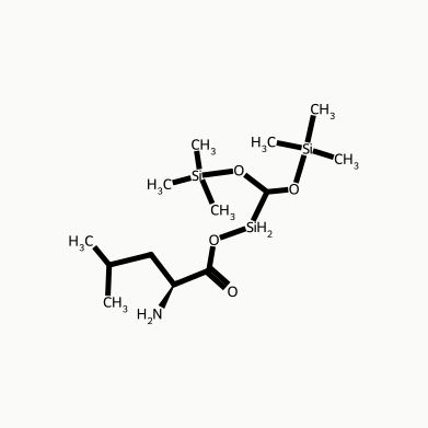 CC(C)C[C@H](N)C(=O)O[SiH2]C(O[Si](C)(C)C)O[Si](C)(C)C